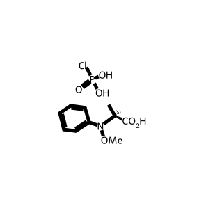 CON(c1ccccc1)[C@@H](C)C(=O)O.O=P(O)(O)Cl